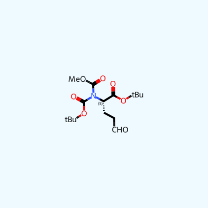 COC(=O)N(C(=O)OC(C)(C)C)[C@@H](CCC=O)C(=O)OC(C)(C)C